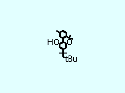 Cc1ccc2c(c1)-c1c(O)cc(C(C)(C)CC(C)(C)C)cc1OC2(C)C